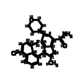 Cc1nc2c(C(N)=O)cc(N3CCOCC3)cc2n1-c1ccnc2c(Cl)ccc(F)c12